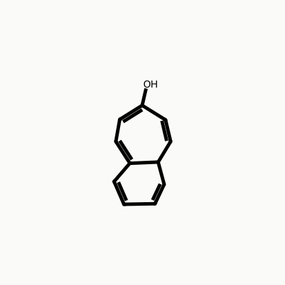 OC1=CC=C2C=CC=CC2C=C1